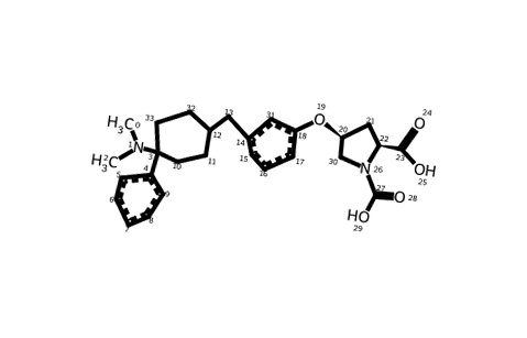 CN(C)C1(c2ccccc2)CCC(Cc2cccc(O[C@H]3C[C@@H](C(=O)O)N(C(=O)O)C3)c2)CC1